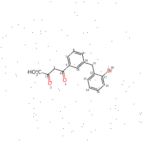 O=C(O)C(=O)CC(=O)c1cccc(Cc2ccccc2Br)c1